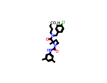 Cc1cc(C)cc(NC(=O)N2CCC2(C)C(=O)N(CCCC(=O)O)Cc2ccc(Cl)cc2)c1